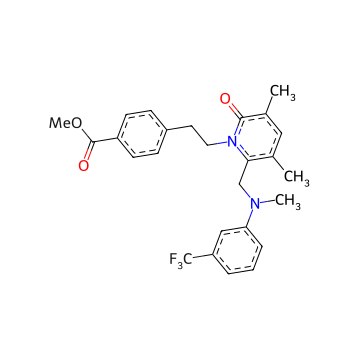 COC(=O)c1ccc(CCn2c(CN(C)c3cccc(C(F)(F)F)c3)c(C)cc(C)c2=O)cc1